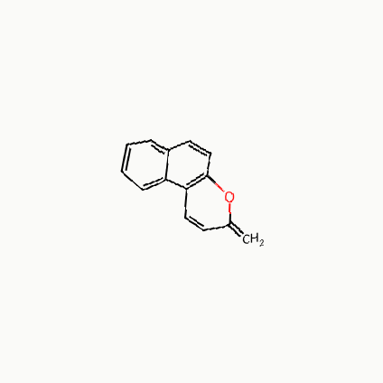 C=C1C=Cc2c(ccc3ccccc23)O1